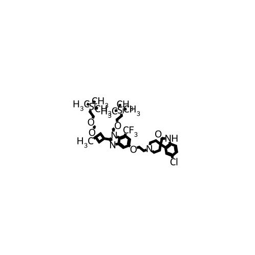 CC1(OCOCC[Si](C)(C)C)CC(c2nc3cc(OCCN4CCC5(CC4)C(=O)Nc4ccc(Cl)cc45)cc(C(F)(F)F)c3n2COCC[Si](C)(C)C)C1